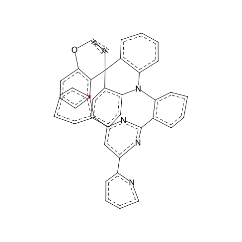 c1ccc(-c2cc(-c3ccccn3)nc(-c3ccccc3N3c4ccccc4C4(c5ccccc5Oc5ccccc54)c4ccccc43)n2)cc1